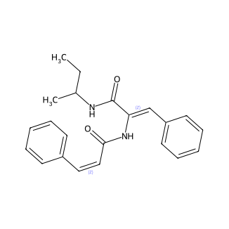 CCC(C)NC(=O)/C(=C/c1ccccc1)NC(=O)/C=C\c1ccccc1